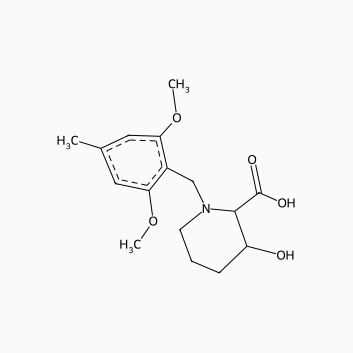 COc1cc(C)cc(OC)c1CN1CCCC(O)C1C(=O)O